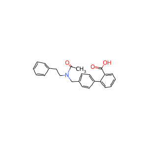 CC(=O)N(CCc1ccccc1)Cc1ccc(-c2ccccc2C(=O)O)cc1